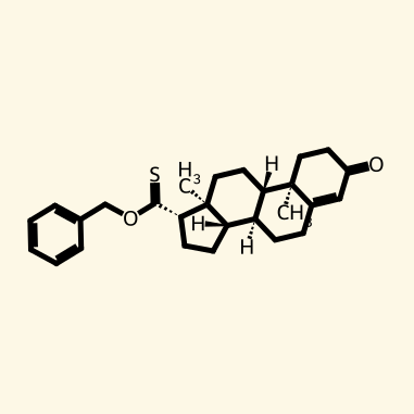 C[C@]12CC[C@H]3[C@@H](CCC4=CC(=O)CC[C@@]43C)[C@@H]1CC[C@@H]2C(=S)OCc1ccccc1